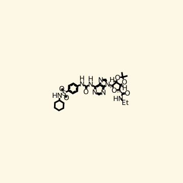 CCNC(=O)[C@H]1O[C@@H](n2cnc3c(NC(=O)Nc4ccc(S(=O)(=O)NC5CCCCC5)cc4)ncnc32)[C@@H]2OC(C)(C)O[C@@H]21